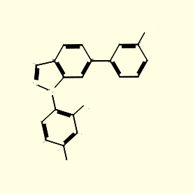 CCOC(=O)c1cccc(-c2ccc3cnn(-c4ccc(Cl)cc4Cl)c3c2)c1